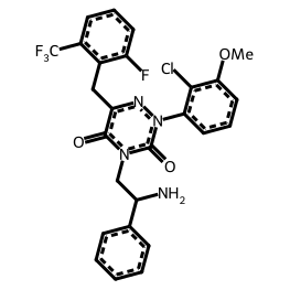 COc1cccc(-n2nc(Cc3c(F)cccc3C(F)(F)F)c(=O)n(CC(N)c3ccccc3)c2=O)c1Cl